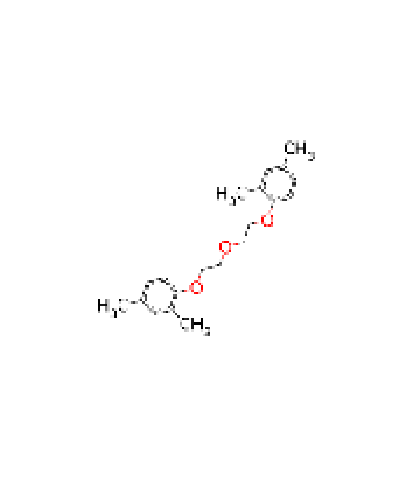 Cc1ccc(OCCOCCOc2ccc(C)cc2C)c(C)c1